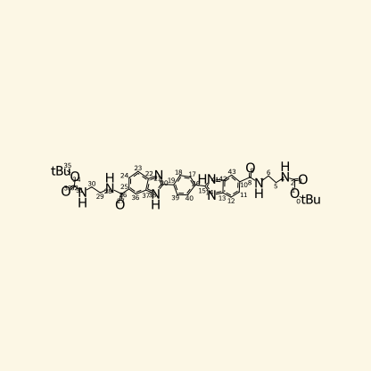 CC(C)(C)OC(=O)NCCNC(=O)c1ccc2nc(-c3ccc(-c4nc5ccc(C(=O)NCCNC(=O)OC(C)(C)C)cc5[nH]4)cc3)[nH]c2c1